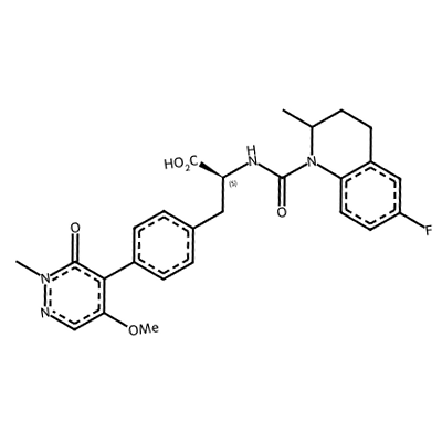 COc1cnn(C)c(=O)c1-c1ccc(C[C@H](NC(=O)N2c3ccc(F)cc3CCC2C)C(=O)O)cc1